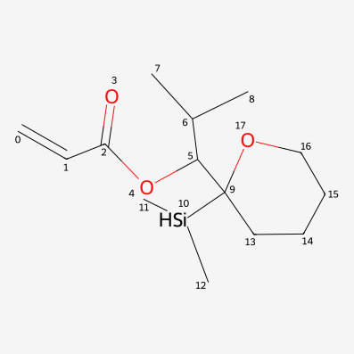 C=CC(=O)OC(C(C)C)C1([SiH](C)C)CCCCO1